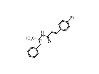 CCc1ccc(C=CC(=O)N[C@H](Cc2ccccc2)C(=O)O)cc1